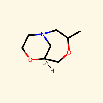 CC1CN2CCO[C@H](CO1)C2